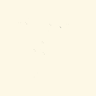 O=C(c1cc([N+](=O)[O-])cc2c(O)nc(Nc3ccc(Cl)c(Cl)c3)nc12)N1CCC[C@H]1COc1ccccc1